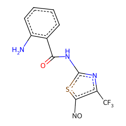 Nc1ccccc1C(=O)Nc1nc(C(F)(F)F)c(N=O)s1